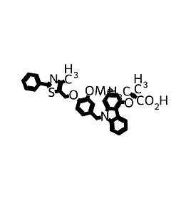 COc1cc(Cn2c3ccccc3c3c(OC(C)(C)C(=O)O)cccc32)ccc1OCc1sc(-c2ccccc2)nc1C